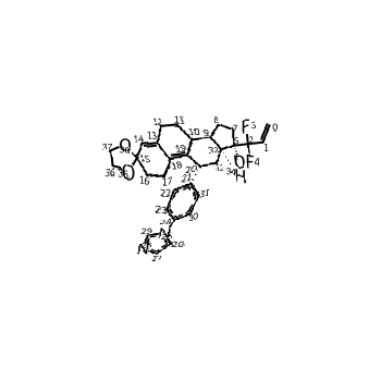 C=CC(F)(F)[C@]1(O)CCC2C3CCC4=CC5(CCC4=C3[C@@H](c3ccc(-n4ccnc4)cc3)C[C@@]21C)OCCO5